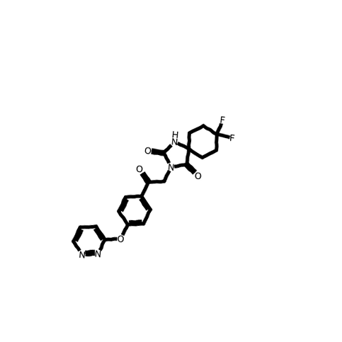 O=C(CN1C(=O)NC2(CCC(F)(F)CC2)C1=O)c1ccc(Oc2cccnn2)cc1